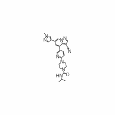 CC(C)NC(=O)N1CCN(c2ccc(-c3cc(-c4cnn(C)c4)cn4ncc(C#N)c34)cn2)CC1